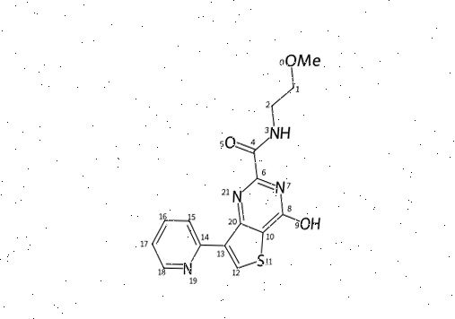 COCCNC(=O)c1nc(O)c2scc(-c3ccccn3)c2n1